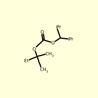 CCC(C)(C)OC(=O)OC(C(C)C)C(C)C